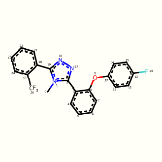 Cn1c(-c2ccccc2Oc2ccc(F)cc2)nnc1-c1ccccc1C(F)(F)F